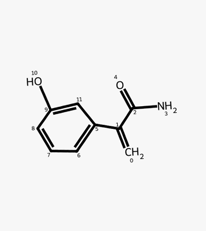 C=C(C(N)=O)c1cccc(O)c1